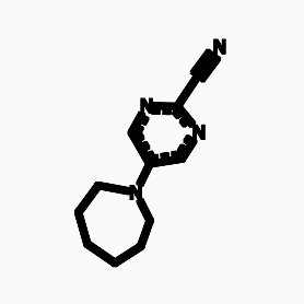 N#Cc1ncc(N2CCCCCC2)cn1